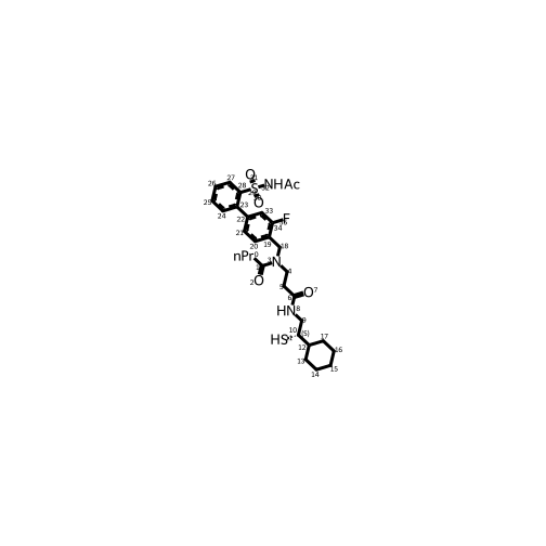 CCCC(=O)N(CCC(=O)NC[C@@H](S)C1CCCCC1)Cc1ccc(-c2ccccc2S(=O)(=O)NC(C)=O)cc1F